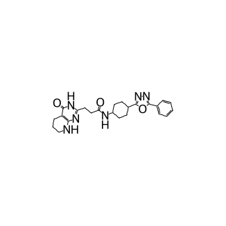 O=C(CCc1nc2c(c(=O)[nH]1)CCCN2)NC1CCC(c2nnc(-c3ccccc3)o2)CC1